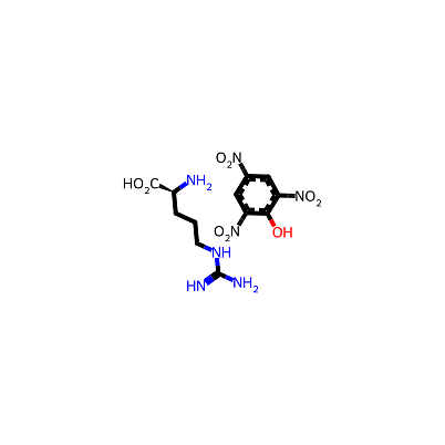 N=C(N)NCCC[C@H](N)C(=O)O.O=[N+]([O-])c1cc([N+](=O)[O-])c(O)c([N+](=O)[O-])c1